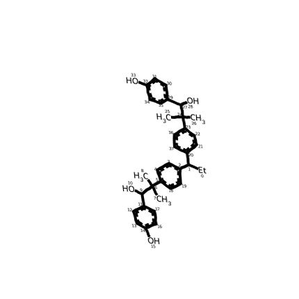 CCC(c1ccc(C(C)(C)C(O)c2ccc(O)cc2)cc1)c1ccc(C(C)(C)C(O)c2ccc(O)cc2)cc1